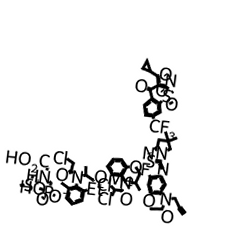 C#CCN1C(=O)COc2cc(F)c(/N=c3\snc4n3CC(C)(C)C4)cc21.CC1COc2ccccc2N1C(=O)C(Cl)Cl.CCc1cccc(C)c1N(C(=O)CCl)C(C)COC.CS(=O)(=O)c1cc(C(F)(F)F)ccc1C(=O)c1cnoc1C1CC1.C[S+](C)C.O=C(O)CNCP(=O)([O-])O